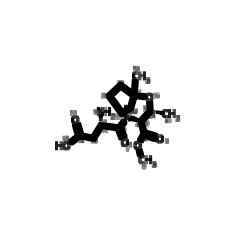 COC(=O)[C@@H](NC(=O)[C@@H](N)CC(=O)O)[C@@H](C)OC1(C)CCCC1